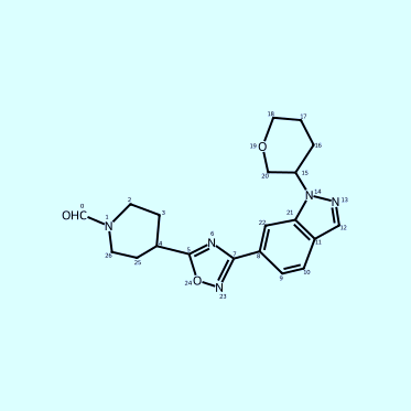 O=CN1CCC(c2nc(-c3ccc4cnn(C5CCCOC5)c4c3)no2)CC1